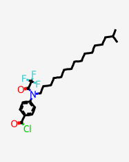 CC(C)CCCCCCCCCCCCCCN(C(=O)C(F)(F)F)c1ccc(C(=O)Cl)cc1